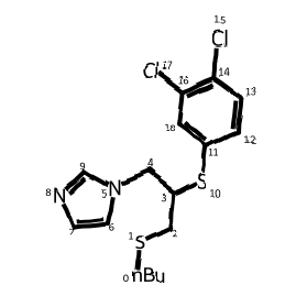 CCCCSCC(Cn1ccnc1)Sc1ccc(Cl)c(Cl)c1